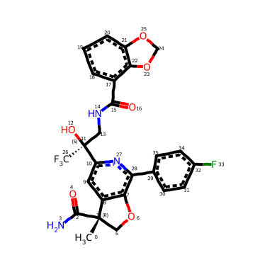 C[C@]1(C(N)=O)COc2c1cc([C@@](O)(CNC(=O)c1cccc3c1OCO3)C(F)(F)F)nc2-c1ccc(F)cc1